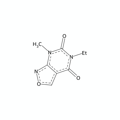 CCn1c(=O)c2conc2n(C)c1=O